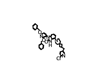 O=c1[nH]c2c(N3CCC4(CC3)CC(Cc3ccc(Cl)nc3)C4)cccc2n1-c1ccc(OCc2ccccc2)nc1OCc1ccccc1